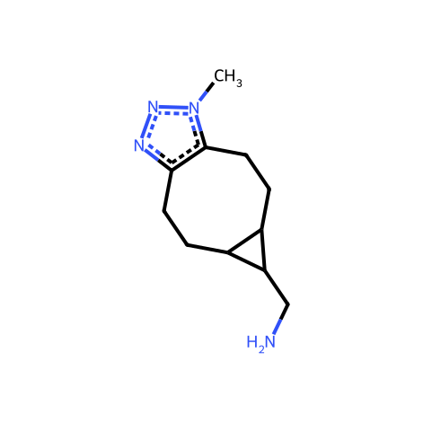 Cn1nnc2c1CCC1C(CN)C1CC2